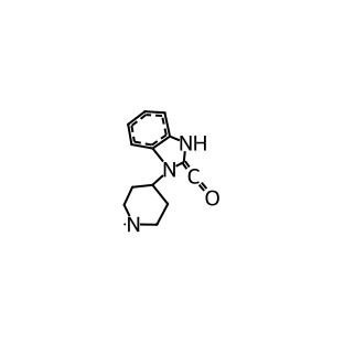 O=C=C1Nc2ccccc2N1C1CC[N]CC1